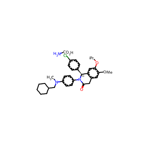 COc1cc2c(cc1OC(C)C)[C@H](c1ccc(Cl)cc1)N(c1ccc(N(C)CC3CCCCC3)cc1)C(=O)C2.NC(=O)O